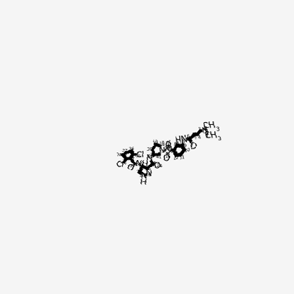 CN(C)C/C=C/C(=O)Nc1cccc(S(=O)(=O)N2CCC/C(=N/C(=O)c3n[nH]cc3NC(=O)c3c(Cl)cccc3Cl)C2)c1